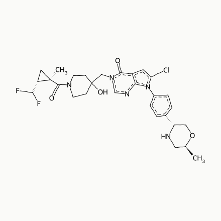 C[C@H]1CN[C@H](c2ccc(-n3c(Cl)cc4c(=O)n(CC5(O)CCN(C(=O)[C@]6(C)C[C@H]6C(F)F)CC5)cnc43)cc2)CO1